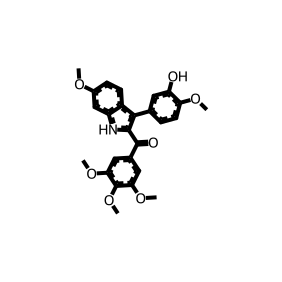 COc1ccc2c(-c3ccc(OC)c(O)c3)c(C(=O)c3cc(OC)c(OC)c(OC)c3)[nH]c2c1